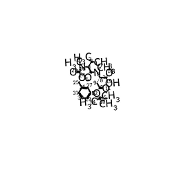 CC(C)[C@@H](C(=O)N(C)[C@@H](CC(=O)OC(C)(C)C)C(=O)O)N(C)C(=O)OCc1ccccc1